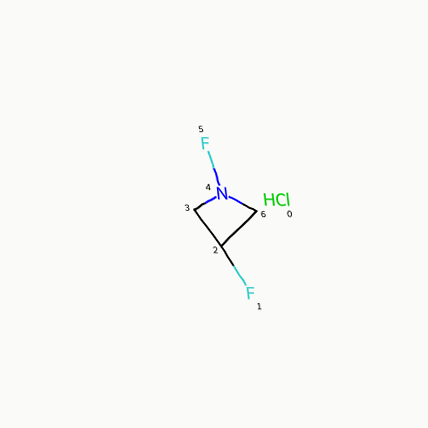 Cl.FC1CN(F)C1